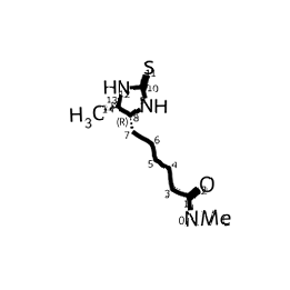 CNC(=O)CCCCC[C@H]1NC(=S)N[C@H]1C